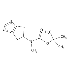 CN(C(=O)OC(C)(C)C)C1Cc2ccsc2C1